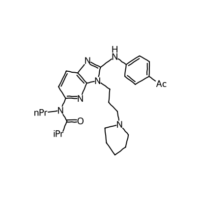 CCCN(C(=O)C(C)C)c1ccc2nc(Nc3ccc(C(C)=O)cc3)n(CCCN3CCCCC3)c2n1